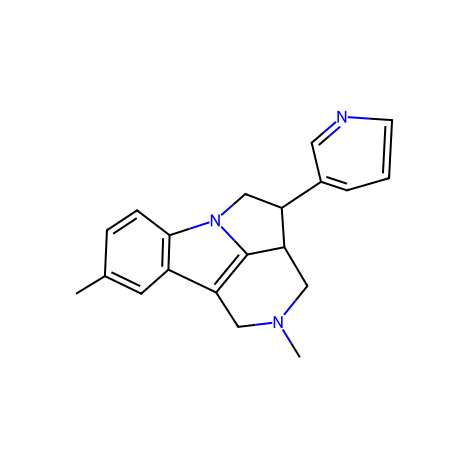 Cc1ccc2c(c1)c1c3n2CC(c2cccnc2)C3CN(C)C1